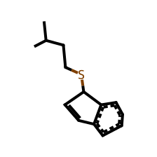 CC(C)CCSC1C=Cc2ccccc21